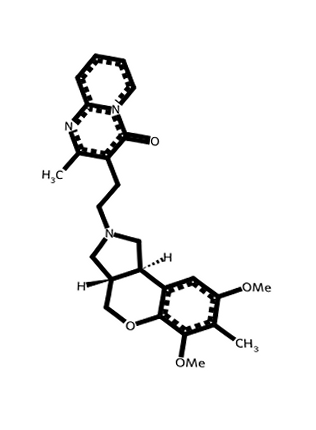 COc1cc2c(c(OC)c1C)OC[C@@H]1CN(CCc3c(C)nc4ccccn4c3=O)C[C@@H]21